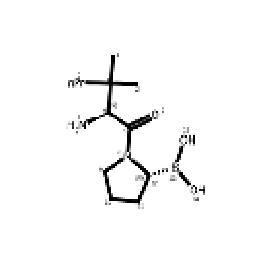 CCCC(C)(C)[C@H](N)C(=O)N1CCC[C@H]1B(O)O